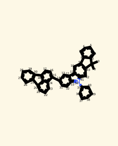 CC1(C)c2ccccc2-c2cc3c4cc(-c5ccc6c7c(cccc57)-c5ccccc5-6)ccc4n(-c4ccccc4)c3cc21